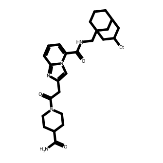 CCC1CC2CCCC(CNC(=O)c3cccc4nc(CC(=O)N5CCC(C(N)=O)CC5)cn34)(C1)C2